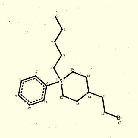 CCCCC[Si]1(c2ccccc2)CCC(CCBr)CC1